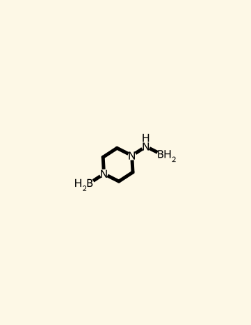 BNN1CCN(B)CC1